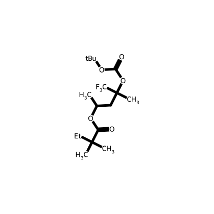 CCC(C)(C)C(=O)OC(C)CC(C)(OC(=O)OC(C)(C)C)C(F)(F)F